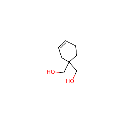 OCC1(CO)CC=CCC1